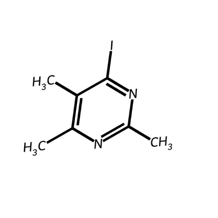 Cc1nc(C)c(C)c(I)n1